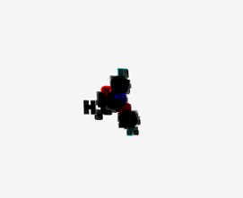 CCC1(C2CC2)C(=O)N(c2ccc(F)cc2)N=C1COc1ccc(F)cc1